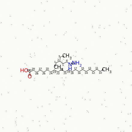 CCC(CC)CCNN.CCCCCCCCCCCCCCCCCCCCCC(=O)O